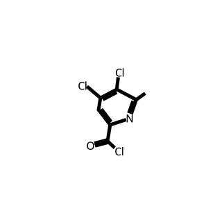 Cc1nc(C(=O)Cl)cc(Cl)c1Cl